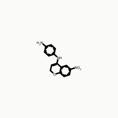 Nc1ccc(NC2=CCOc3ccc([N+](=O)[O-])cc32)cc1